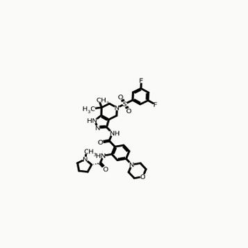 CN1CCC[C@H]1C(=O)Nc1cc(N2CCOCC2)ccc1C(=O)Nc1n[nH]c2c1CN(S(=O)(=O)c1cc(F)cc(F)c1)CC2(C)C